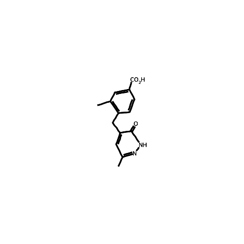 Cc1cc(Cc2ccc(C(=O)O)cc2C)c(=O)[nH]n1